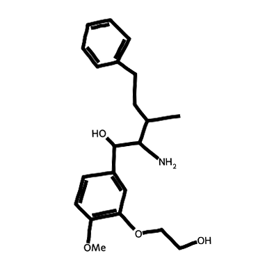 COc1ccc(C(O)C(N)C(C)CCc2ccccc2)cc1OCCO